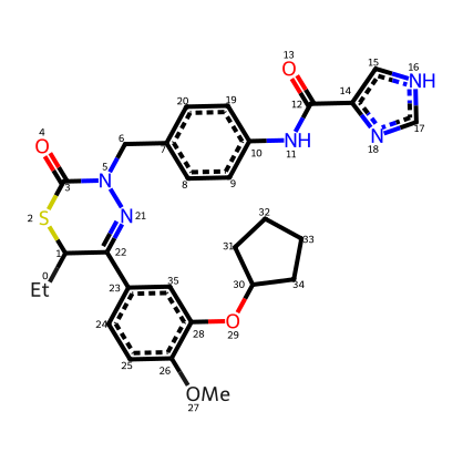 CCC1SC(=O)N(Cc2ccc(NC(=O)c3c[nH]cn3)cc2)N=C1c1ccc(OC)c(OC2CCCC2)c1